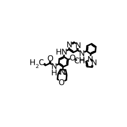 C=CC(=O)Nc1cc(Nc2cc(Nc3ccccc3-n3cccn3)ncn2)c(OC)cc1N1C2CCC1COC2